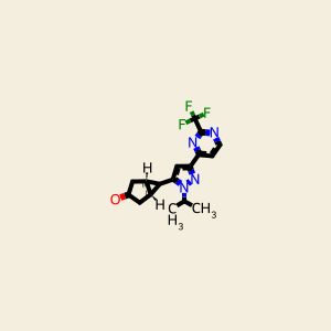 CC(C)n1nc(-c2ccnc(C(F)(F)F)n2)cc1C1[C@H]2CC(=O)C[C@@H]12